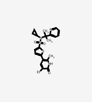 CCc1cc(-c2ccc(S(=O)(=O)N(C3CC3)C(C)(C)c3ccccn3)s2)c(C)[nH]c1=O